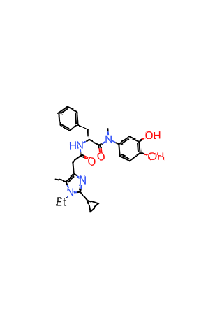 CCn1c(C2CC2)nc(CC(=O)N[C@@H](Cc2ccccc2)C(=O)N(C)c2ccc(O)c(O)c2)c1C